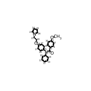 COc1ccc(C(=O)N(c2ccccc2)c2ccc(OCCn3cccc3)cc2)cc1